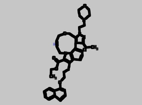 CCOC(=O)c1c(CCCOc2cccc3ccccc23)c2ccc(Cl)c3c2n1C/C=C\COCc1c-3c(CC)nn1CCN1CCOCC1